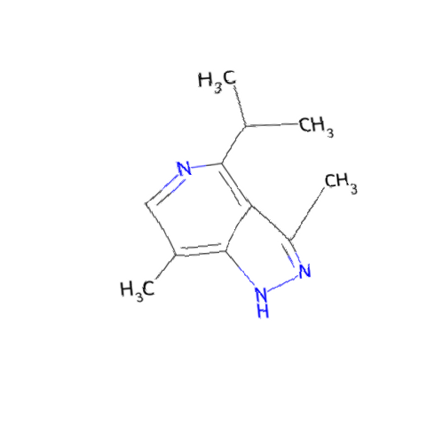 Cc1cnc(C(C)C)c2c(C)n[nH]c12